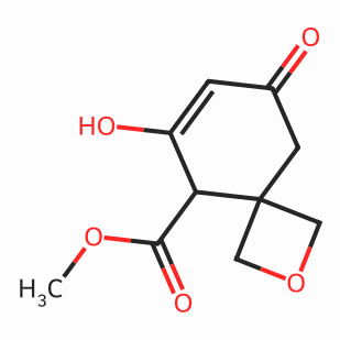 COC(=O)C1C(O)=CC(=O)CC12COC2